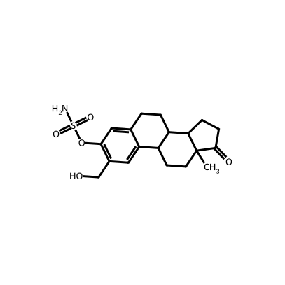 CC12CCC3c4cc(CO)c(OS(N)(=O)=O)cc4CCC3C1CCC2=O